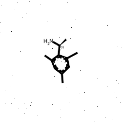 Cc1cc(C)c([C@H](C)N)c(C)c1